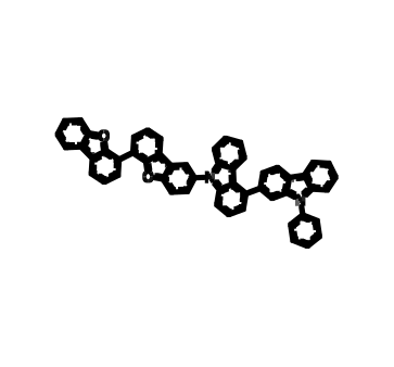 c1ccc(-n2c3ccccc3c3ccc(-c4cccc5c4c4ccccc4n5-c4ccc5oc6c(-c7cccc8c7oc7ccccc78)cccc6c5c4)cc32)cc1